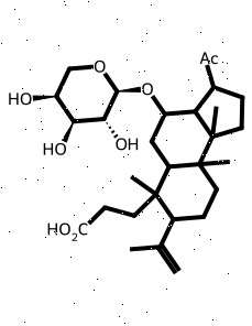 C=C(C)C1CCC2(C)C(CC(O[C@@H]3OC[C@H](O)[C@H](O)[C@H]3O)C3C(C(C)=O)CCC32C)C1(C)CCC(=O)O